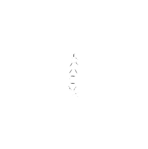 CC(C)(C)c1ccc(Oc2cccc(C=C3SC(=O)NC3=O)c2)cc1